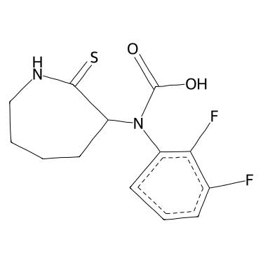 O=C(O)N(c1cccc(F)c1F)C1CCCCNC1=S